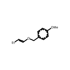 [CH2]CC=COCc1ccc(OC)cc1